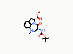 COC(=O)[C@H]1Cc2cccc3c2N1C(=O)[C@@H](NC(=O)OC(C)(C)C)CN3C